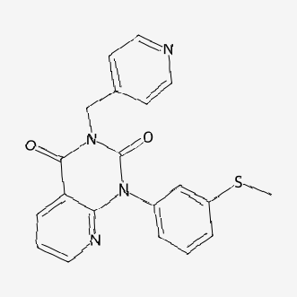 CSc1cccc(-n2c(=O)n(Cc3ccncc3)c(=O)c3cccnc32)c1